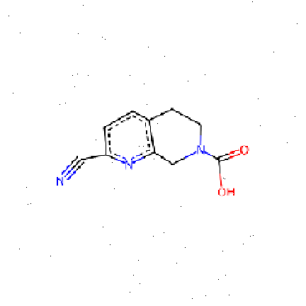 N#Cc1ccc2c(n1)CN(C(=O)O)CC2